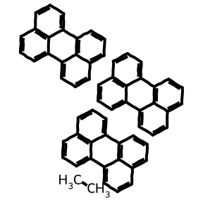 CC.c1cc2cccc3c4cccc5cccc(c(c1)c23)c54.c1cc2cccc3c4cccc5cccc(c(c1)c23)c54.c1cc2cccc3c4cccc5cccc(c(c1)c23)c54